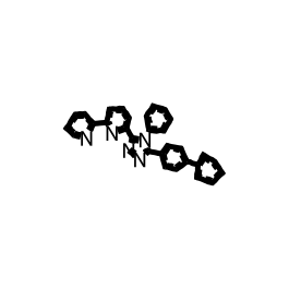 c1ccc(-c2ccc(-c3nnc(-c4cccc(-c5ccccn5)n4)n3-c3ccccc3)cc2)cc1